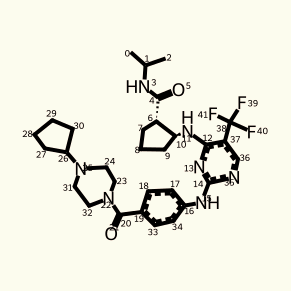 CC(C)NC(=O)[C@H]1CCC[C@H]1Nc1nc(Nc2ccc(C(=O)N3CCN(C4CCCC4)CC3)cc2)ncc1C(F)(F)F